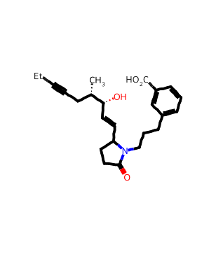 CCC#CC[C@H](C)[C@H](O)/C=C/C1CCC(=O)N1CCCc1cccc(C(=O)O)c1